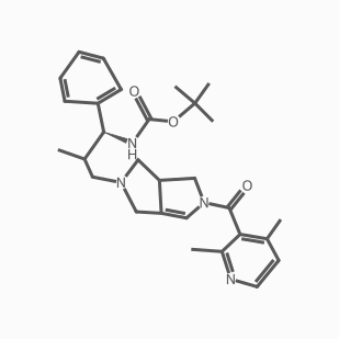 Cc1ccnc(C)c1C(=O)N1C=C2CN(CC(C)[C@H](NC(=O)OC(C)(C)C)c3ccccc3)CC2C1